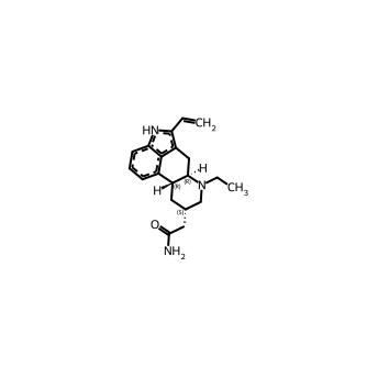 C=Cc1[nH]c2cccc3c2c1C[C@@H]1[C@@H]3C[C@@H](CC(N)=O)CN1CC